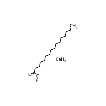 CCCCCCCCCCCCCCCC(=O)OF.[CaH2]